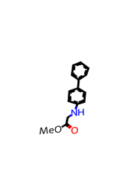 COC(=O)CNc1ccc(-c2ccccc2)cc1